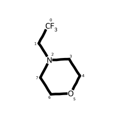 FC(F)(F)CN1C[CH]OCC1